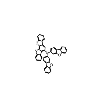 c1ccc2c(c1)oc1cc(N(c3ccc4c(c3)oc3ccccc34)c3cc4c5ccccc5oc4c4sc5ccccc5c34)ccc12